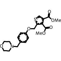 COC(=O)c1csc(COc2ccc(CN3CCOCC3)cc2)c1C(=O)OC